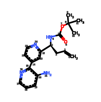 C=CC[C@H](NC(=O)OC(C)(C)C)c1cc(-c2ncccc2N)ccn1